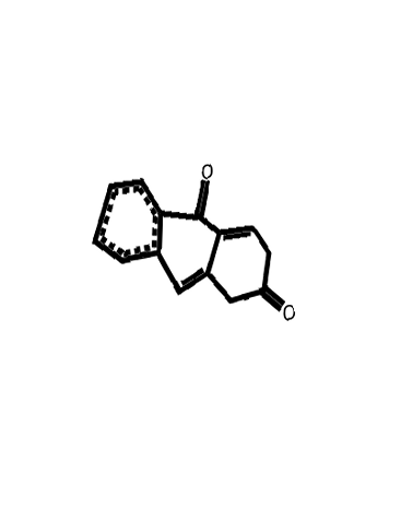 O=C1CC=C2C(=O)c3ccccc3C=C2C1